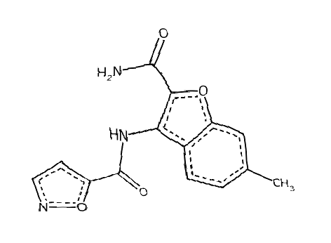 Cc1ccc2c(NC(=O)c3ccno3)c(C(N)=O)oc2c1